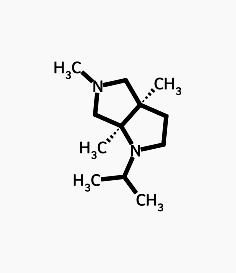 CC(C)N1CC[C@]2(C)CN(C)C[C@]12C